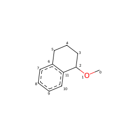 COC1CCCc2ccccc21